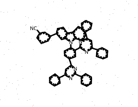 N#Cc1cccc(-c2ccc3c4ccccc4n(-c4ccc(-c5cc(-c6ccccc6)nc(-c6ccccc6)n5)cc4-c4nc(-c5ccccc5)cc(-c5ccccc5)n4)c3c2)c1